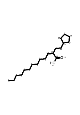 CCCCCCCCCCCC(CCC1CCCC1)C(=O)O